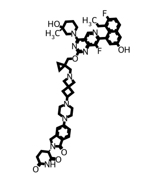 CCc1c(F)ccc2cc(O)cc(-c3ncc4c(N5CCC[C@@](C)(O)C5)nc(OCC5(CN6CC7(CC(N8CCN(c9ccc%10c(c9)CN([C@H]9CCC(=O)NC9=O)C%10=O)CC8)C7)C6)CC5)nc4c3F)c12